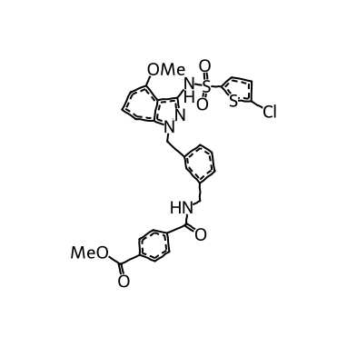 COC(=O)c1ccc(C(=O)NCc2cccc(Cn3nc(NS(=O)(=O)c4ccc(Cl)s4)c4c(OC)cccc43)c2)cc1